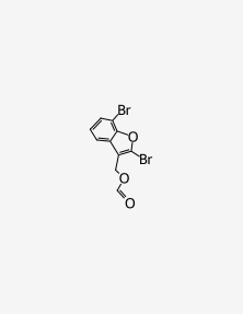 O=COCc1c(Br)oc2c(Br)cccc12